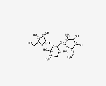 NC[C@@H]1O[C@H](O[C@@H]2[C@@H](O[C@@H]3O[C@@H](CO)[C@H](O)[C@H]3O)[C@H](O)[C@@H](N)C[C@H]2N)[C@@H](N)[C@H](O)[C@H]1O